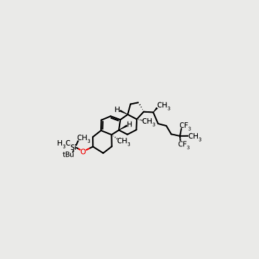 C[C@@H](CCCC(C)(C(F)(F)F)C(F)(F)F)[C@H]1CC[C@H]2C3=CC=C4CC(O[Si](C)(C)C(C)(C)C)CC[C@]4(C)[C@H]3CC[C@]12C